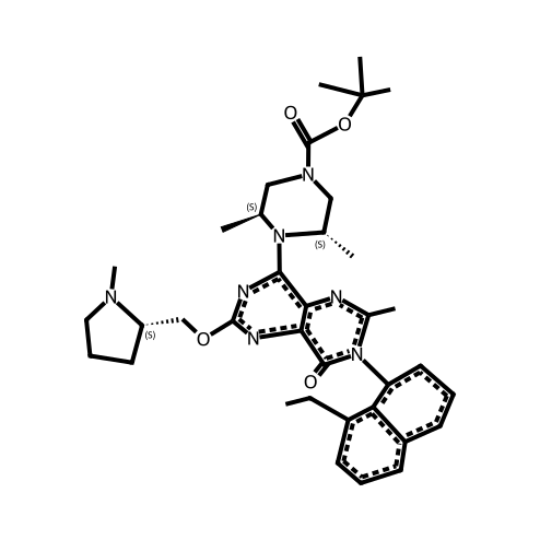 CCc1cccc2cccc(-n3c(C)nc4c(N5[C@@H](C)CN(C(=O)OC(C)(C)C)C[C@@H]5C)nc(OC[C@@H]5CCCN5C)nc4c3=O)c12